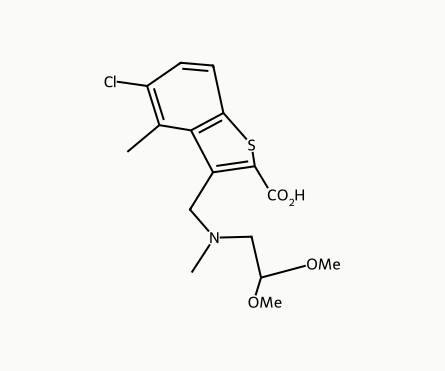 COC(CN(C)Cc1c(C(=O)O)sc2ccc(Cl)c(C)c12)OC